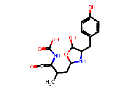 CC(CC1NC(Cc2ccc(O)cc2)C(O)O1)C(=C=O)NC(=O)O